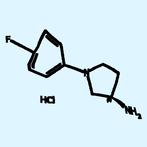 Cl.N[C@@H]1CCN(c2ccc(F)cc2)C1